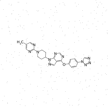 Cc1cnc(N2CCC(n3ncc4c(Oc5ccc(-n6cnnn6)cc5)ncnc43)CC2)nc1